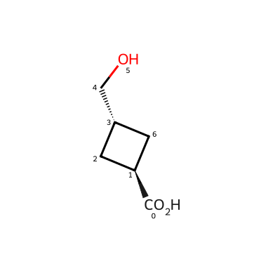 O=C(O)[C@H]1C[C@H](CO)C1